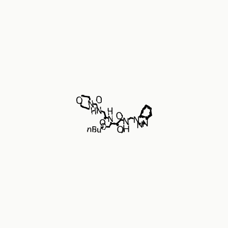 CCCCOCC(NC(=O)CNC(=O)N1CCOCC1)C(=O)C(=O)NCn1nnc2ccccc21